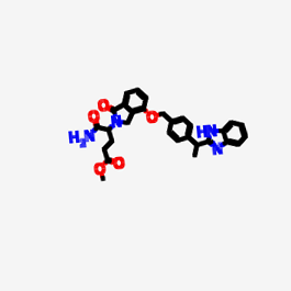 COC(=O)CCC(C(N)=O)N1Cc2c(OCc3ccc(C(C)c4nc5ccccc5[nH]4)cc3)cccc2C1=O